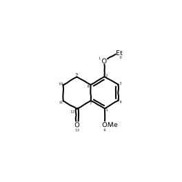 CCOc1ccc(OC)c2c1CCCC2=O